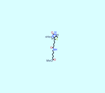 CCCCCCN1C(=O)N[C@H]2CS[C@@H](CCCCC(=O)NCCCCCC(=O)OC)[C@H]21